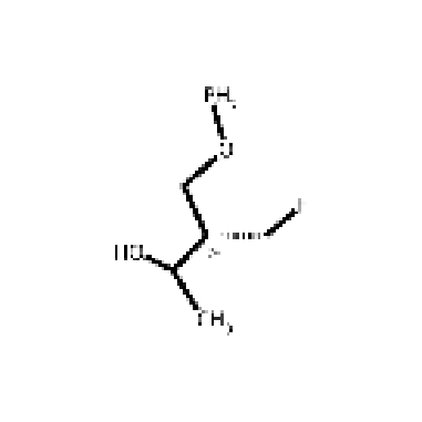 CC(O)[C@@H](CF)COP